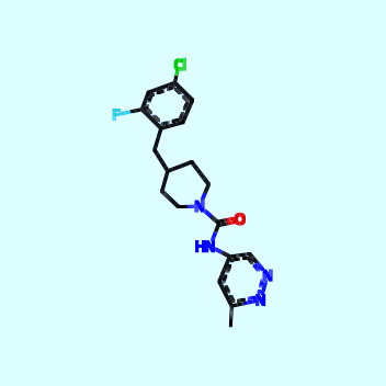 Cc1cc(NC(=O)N2CCC(Cc3ccc(Cl)cc3F)CC2)cnn1